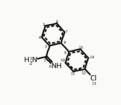 N=C(N)c1ccccc1-c1ccc(Cl)cc1